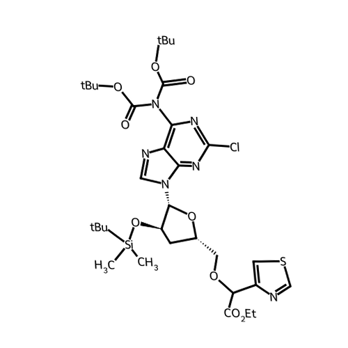 CCOC(=O)C(OC[C@@H]1C[C@@H](O[Si](C)(C)C(C)(C)C)[C@H](n2cnc3c(N(C(=O)OC(C)(C)C)C(=O)OC(C)(C)C)nc(Cl)nc32)O1)c1cscn1